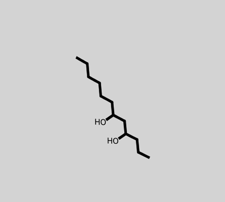 CCCCCCC(O)CC(O)CCC